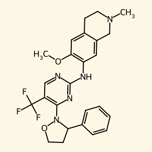 COc1cc2c(cc1Nc1ncc(C(F)(F)F)c(N3OCCC3c3ccccc3)n1)CN(C)CC2